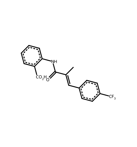 C/C(=C\c1ccc(C(F)(F)F)cc1)C(=O)Nc1ccccc1C(=O)O